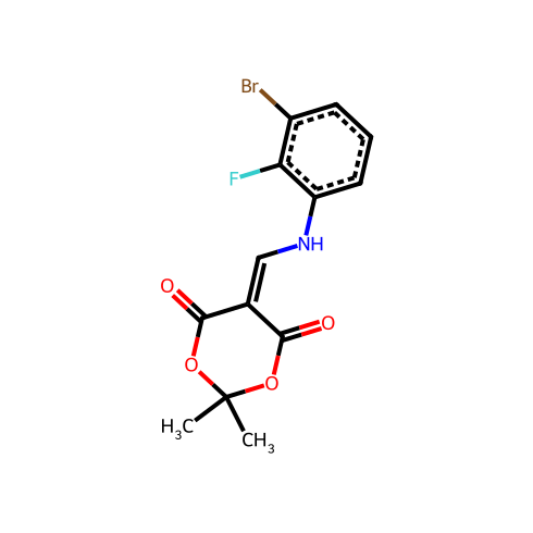 CC1(C)OC(=O)C(=CNc2cccc(Br)c2F)C(=O)O1